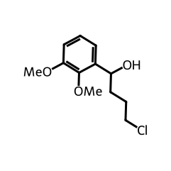 COc1cccc(C(O)CCCCl)c1OC